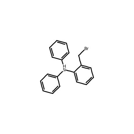 BrCc1ccccc1[SiH](c1ccccc1)c1ccccc1